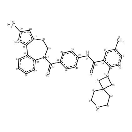 Cc1cnc(N2CC3(CCOCC3)C2)c(C(=O)Nc2ccc(C(=O)N3CCc4cc(C)sc4-c4ccccc43)cc2)c1